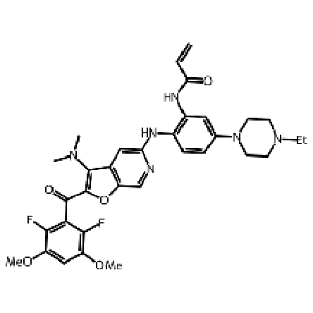 C=CC(=O)Nc1cc(N2CCN(CC)CC2)ccc1Nc1cc2c(N(C)C)c(C(=O)c3c(F)c(OC)cc(OC)c3F)oc2cn1